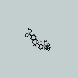 CCOC(=O)c1ccc2c(c1)CC(C)(C)C(c1cccc(NS(=O)(=O)N(C)C)c1)N2